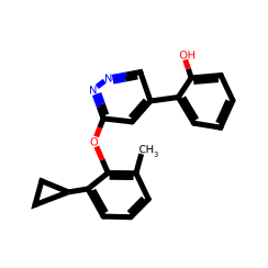 Cc1cccc(C2CC2)c1Oc1cc(-c2ccccc2O)cnn1